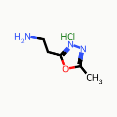 Cc1nnc(CCN)o1.Cl